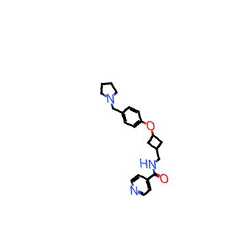 O=C(NCC1CC(Oc2ccc(CN3CCCC3)cc2)C1)c1ccncc1